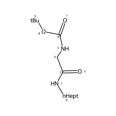 CCCCCCCNC(=O)CNC(=O)OC(C)(C)C